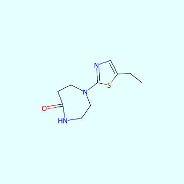 CCc1cnc(N2CCNC(=O)CC2)s1